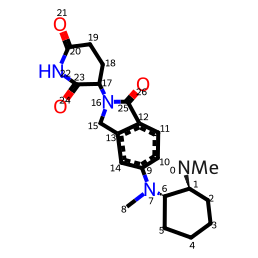 CN[C@H]1CCCC[C@@H]1N(C)c1ccc2c(c1)CN(C1CCC(=O)NC1=O)C2=O